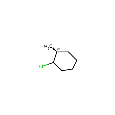 C[C@H]1CCCCC1Cl